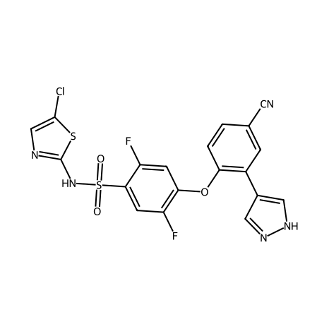 N#Cc1ccc(Oc2cc(F)c(S(=O)(=O)Nc3ncc(Cl)s3)cc2F)c(-c2cn[nH]c2)c1